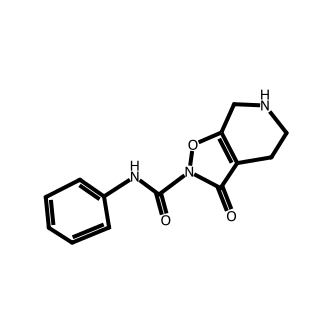 O=C(Nc1ccccc1)n1oc2c(c1=O)CCNC2